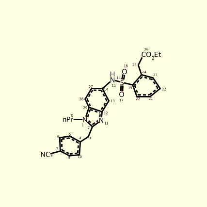 CCCn1c(Cc2ccc(C#N)cc2)nc2cc(NS(=O)(=O)c3ccccc3CC(=O)OCC)ccc21